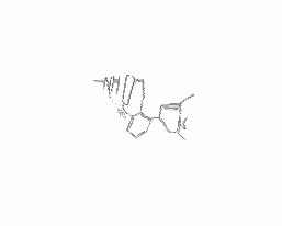 CNC[C@@H]1OCCc2c(-c3cc(C)nc(C)c3)cccc21